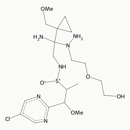 COCC1(C(N)(CN[S+]([O-])C(C)C(OC)c2ncc(Cl)cn2)N(N)CCOCCO)CC1